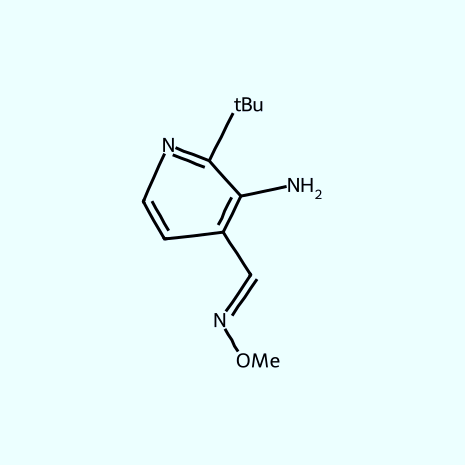 CO/N=C/c1ccnc(C(C)(C)C)c1N